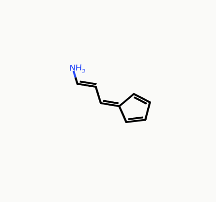 N/C=C/C=C1C=CC=C1